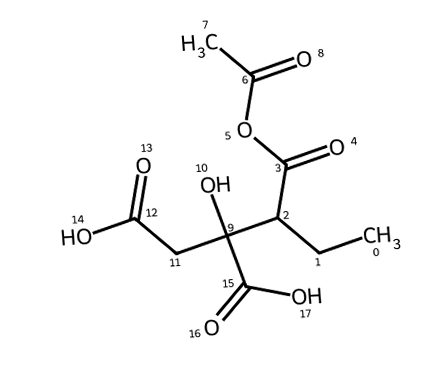 CCC(C(=O)OC(C)=O)C(O)(CC(=O)O)C(=O)O